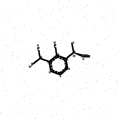 CN[C@H](C)c1cccc(C(F)F)c1F